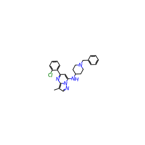 Cc1cnn2c(NC3CCN(Cc4ccccc4)CC3)cc(-c3ccccc3Cl)nc12